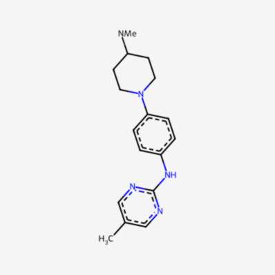 CNC1CCN(c2ccc(Nc3ncc(C)cn3)cc2)CC1